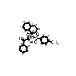 Cc1ccc(S(=O)(=O)NC2(OC(=O)C(=O)c3ccccc3)CCCc3ccccc32)cc1